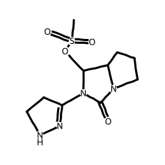 CS(=O)(=O)OC1C2CCCN2C(=O)N1C1=NNCC1